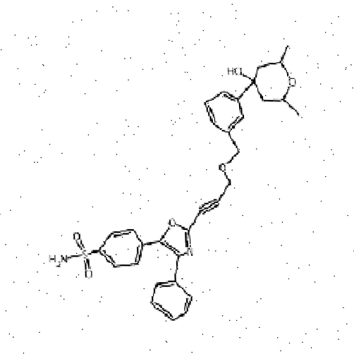 CC1CC(O)(c2cccc(COCC#Cc3nc(-c4ccccc4)c(-c4ccc(S(N)(=O)=O)cc4)o3)c2)CC(C)O1